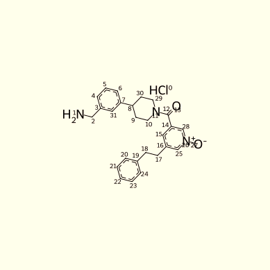 Cl.NCc1cccc(C2CCN(C(=O)c3cc(CCc4ccccc4)c[n+]([O-])c3)CC2)c1